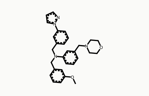 COc1cccc(CN(Cc2cccc(-n3cccn3)c2)c2cccc(CN3CCOCC3)c2)c1